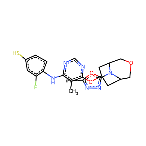 Cc1c(Nc2ccc(S)cc2F)ncnc1OC1CC2COCC(C1)N2c1nnc(C(C)C)o1